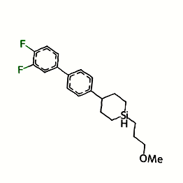 COCCC[SiH]1CCC(c2ccc(-c3ccc(F)c(F)c3)cc2)CC1